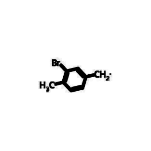 [CH2]c1ccc(C)c(Br)c1